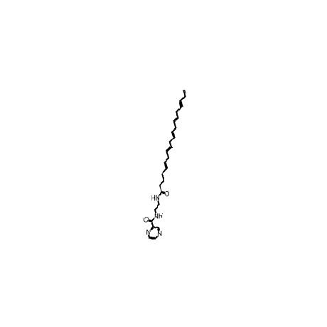 CCC=CCC=CCC=CCC=CCC=CCCCC(=O)NCCNC(=O)c1cnccn1